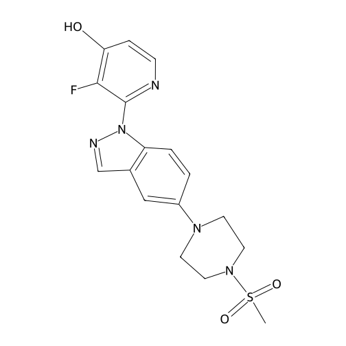 CS(=O)(=O)N1CCN(c2ccc3c(cnn3-c3nccc(O)c3F)c2)CC1